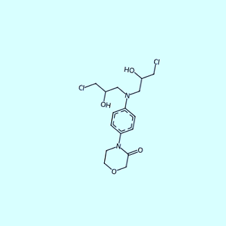 O=C1COCCN1c1ccc(N(CC(O)CCl)CC(O)CCl)cc1